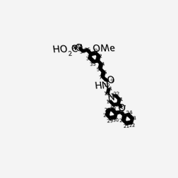 COc1cc(C=CC=CC(=O)NCCN2CCC(OC(c3ccccc3)c3ccccc3)CC2)ccc1CCOC(=O)O